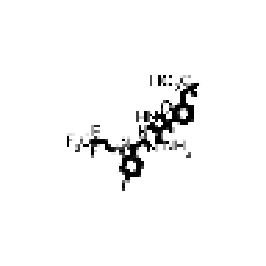 CC(C)(Cc1cccc(C2(C)C(=O)Nc3nc(-c4nn(CCC(F)(F)C(F)(F)F)c5cc(Cl)ccc45)nc(N)c32)c1)C(=O)O